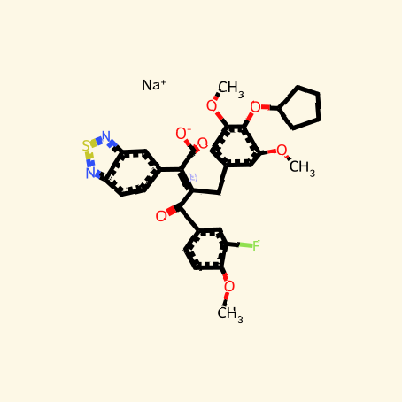 COc1ccc(C(=O)/C(Cc2cc(OC)c(OC3CCCC3)c(OC)c2)=C(/C(=O)[O-])c2ccc3nsnc3c2)cc1F.[Na+]